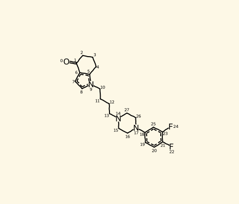 O=C1CCCc2c1ccn2CCCCN1CCN(c2ccc(F)c(F)c2)CC1